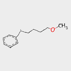 COCCCC[CH]c1ccccc1